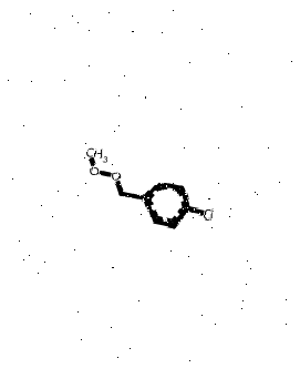 COOCc1ccc(Cl)cc1